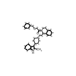 Cc1[nH]c2ccccc2c1C1CCN(CCC2c3ccccc3CCN2C(=O)COCc2ccccc2)CC1